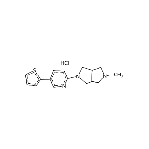 CN1CC2CN(c3ccc(-c4cccs4)cn3)CC2C1.Cl